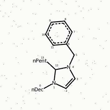 CCCCCCCCCCN1C=CN(Cc2ccccc2)C1CCCCC